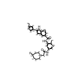 Cc1ncc(NC(=O)CN2CCCC(F)CC2)cc1NC(=O)c1cnc2[nH]c(-c3cnn(C)c3)cc2c1